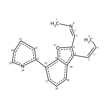 C/C=C\c1c(/C=N\C)oc2c(-c3ccccn3)cccc12